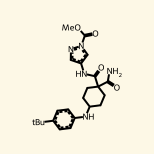 COC(=O)n1cc(NC(=O)C2(C(N)=O)CCC(Nc3ccc(C(C)(C)C)cc3)CC2)cn1